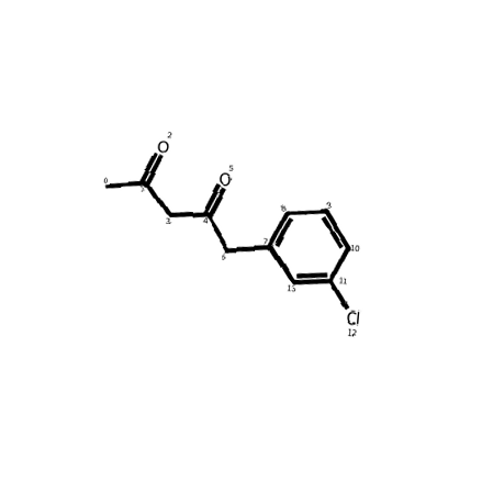 CC(=O)CC(=O)Cc1cccc(Cl)c1